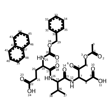 CC(=O)OCC(=O)C(CC(=O)O)NC(=O)C(NC(=O)C(CCC(=O)O)NC(=O)OCc1ccccc1)C(C)C.c1ccc2ccccc2c1